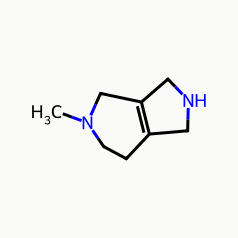 CN1CCC2=C(CNC2)C1